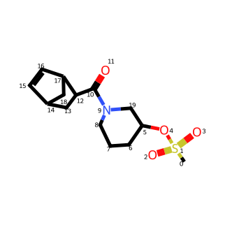 CS(=O)(=O)OC1CCCN(C(=O)C2CC3C=CC2C3)C1